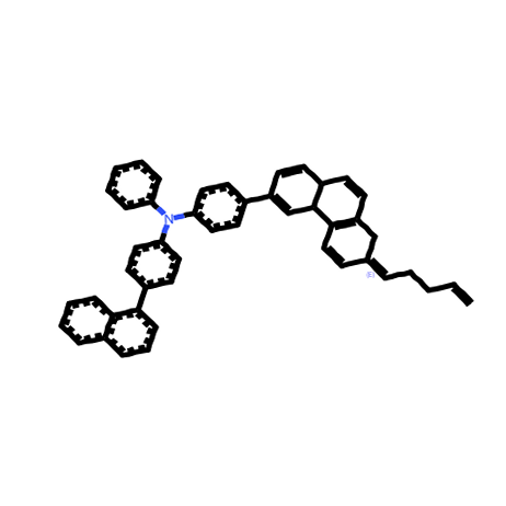 C=CCC/C=C1/C=CC2=C(C=CC3C=CC(c4ccc(N(c5ccccc5)c5ccc(-c6cccc7ccccc67)cc5)cc4)=CC23)C1